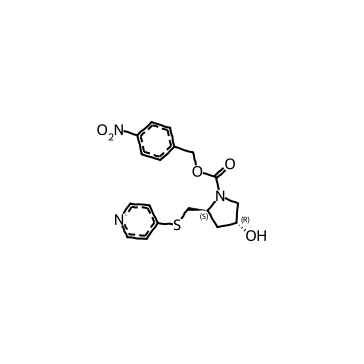 O=C(OCc1ccc([N+](=O)[O-])cc1)N1C[C@H](O)C[C@H]1CSc1ccncc1